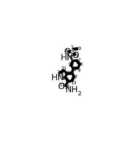 C=CS(=O)(=O)Nc1cccc(-c2ccc(C(N)=O)c3[nH]ccc23)c1